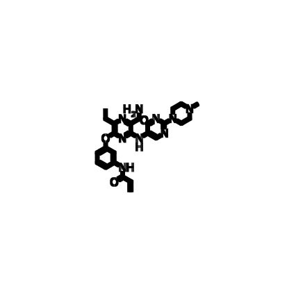 C=CC(=O)Nc1cccc(Oc2nc(Nc3cnc(N4CCN(C)CC4)nc3)c(C(N)=O)nc2CC)c1